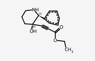 CCOC(=O)C#C[C@]1(O)CCCN[C@H]1c1ccccc1